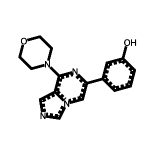 Oc1cccc(-c2cn3cncc3c(N3CCOCC3)n2)c1